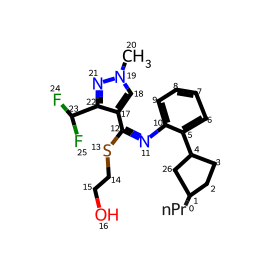 CCCC1CCC(c2ccccc2/N=C(/SCCO)c2cn(C)nc2C(F)F)C1